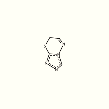 C1=Nn2cnnc2SC1